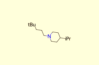 CC(C)C1CCN(CCCC(C)(C)C)CC1